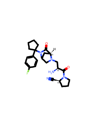 N#C[C@@H]1CCCN1C(=O)[C@@H](N)CN1CC2C[C@H]1C(=O)N2C1(c2ccc(F)cc2)CCCC1